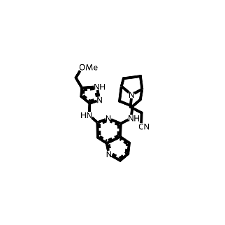 COCc1cc(Nc2cc3ncccc3c(NC3CC4CCC(C3)N4CCC#N)n2)n[nH]1